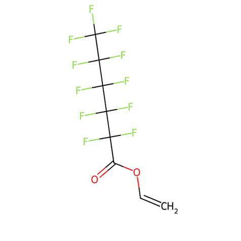 C=COC(=O)C(F)(F)C(F)(F)C(F)(F)C(F)(F)C(F)(F)F